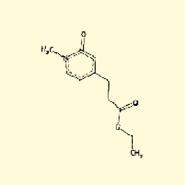 CCOC(=O)CCc1ccn(C)c(=O)c1